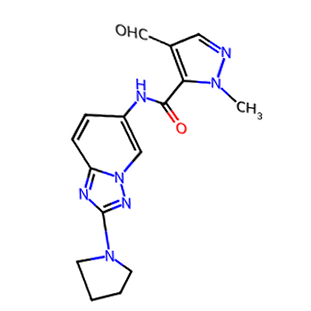 Cn1ncc(C=O)c1C(=O)Nc1ccc2nc(N3CCCC3)nn2c1